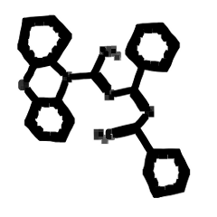 C=C(/N=C(\N=C(/N)N1c2ccccc2Oc2ccccc21)c1ccccc1)c1ccccc1